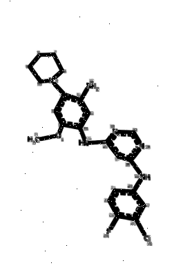 COc1cc(N2CCCCC2)c(N)cc1Nc1cc(Nc2ccc(F)c(Cl)c2)ncn1